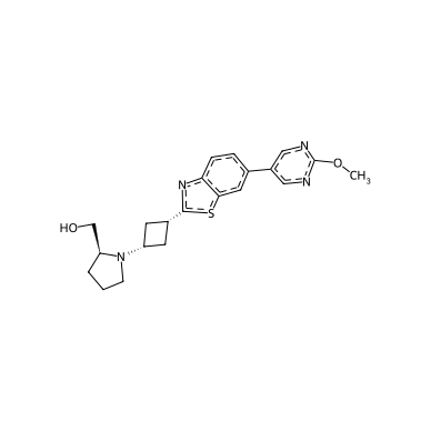 COc1ncc(-c2ccc3nc([C@H]4C[C@@H](N5CCC[C@H]5CO)C4)sc3c2)cn1